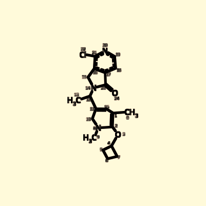 CC1=C(OC2CCC2)N(C)CC(C(C)N2Cc3c(ccnc3Cl)C2=O)=C1